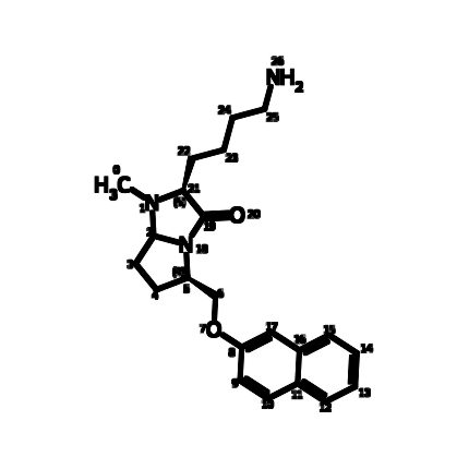 CN1C2CC[C@H](COc3ccc4ccccc4c3)N2C(=O)[C@@H]1CCCCN